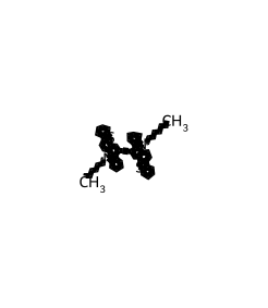 CCCCCCCCn1c2ccccc2c2c(C#Cc3cc4c(ccc5c6ccccc6sc54)c4c3c3ccccc3n4CCCCCCCC)cc3c(ccc4c5ccccc5sc43)c21